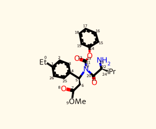 CCc1ccc([C@H](CC(=O)OC)N(C(=O)Oc2ccccc2)C(=O)[C@@H](N)C(C)C)cc1